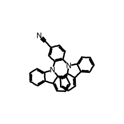 N#Cc1ccc(-n2c3ccccc3c3ccccc32)c(-n2c3ccccc3c3ccccc32)c1